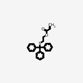 C=CC(=O)OCCSC(c1ccccc1)(c1ccccc1)c1ccccc1